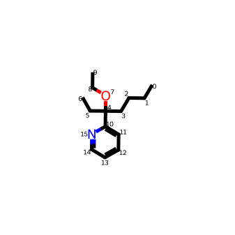 CCCCC(CC)(OCC)c1ccccn1